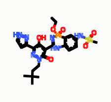 CCOP1(=O)N=C(c2c(O)c(-c3cc[nH]n3)nn(CCC(C)(C)C)c2=O)Nc2ccc(NS(C)(=O)=O)cc21